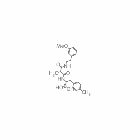 COc1cccc(CCNC(=O)C(C)C(=O)NC(Cc2ccc(C)cc2)B(O)O)c1